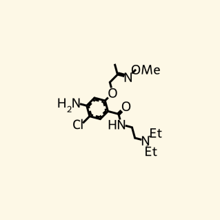 CCN(CC)CCNC(=O)c1cc(Cl)c(N)cc1OCC(C)=NOC